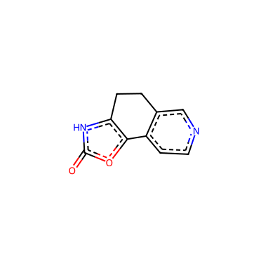 O=c1[nH]c2c(o1)-c1ccncc1CC2